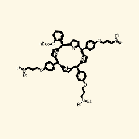 CCCCCCCCCCOc1ccccc1C1=C2C=CC(=N2)C(c2ccc(OCCCN(CC)CC)cc2)=C2C=CC(=N2)C(c2ccc(OCCCN(CC)CC)cc2)=C2C=CC(=N2)C(c2ccc(OCCCN(CC)CC)cc2)=C2C=CC1=N2